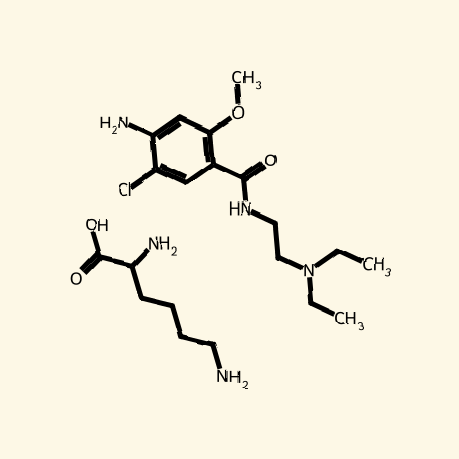 CCN(CC)CCNC(=O)c1cc(Cl)c(N)cc1OC.NCCCCC(N)C(=O)O